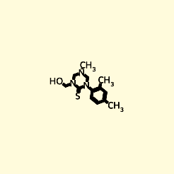 Cc1ccc(N2CN(C)CN(CO)C2=S)c(C)c1